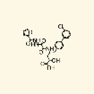 O=C(NNC(=O)c1ccco1)C(=O)N[C@H](Cc1ccc(-c2cccc(Cl)c2)cc1)C[C@@H](O)C(=O)O